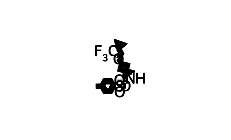 Cc1ccc(S(=O)(=O)OC2NCC23CC(OCC2(C(F)(F)F)CC2)C3)cc1